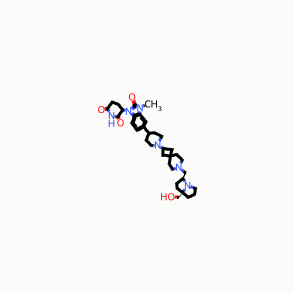 Cn1c(=O)n(C2CCC(=O)NC2=O)c2ccc(C3CCN(C4CC5(CCN(C[C@@H]6CC[C@]7(CO)CCCN67)CC5)C4)CC3)cc21